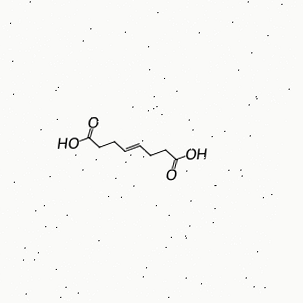 O=C(O)CCC=CCCC(=O)O